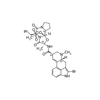 CC(C)C[C@H]1C(=O)N2CCC[C@H]2[C@]2(OS(C)(=O)=O)O[C@@](C)(NC(=O)[C@@H]3C=C4c5cccc6[nH]c(Br)c(c56)C[C@H]4N(C)C3)C(=O)N12